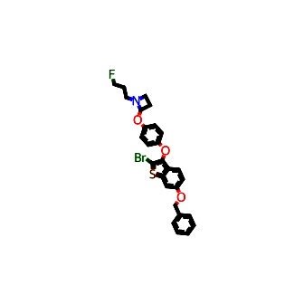 FCCCN1CCC1Oc1ccc(Oc2c(Br)sc3cc(OCc4ccccc4)ccc23)cc1